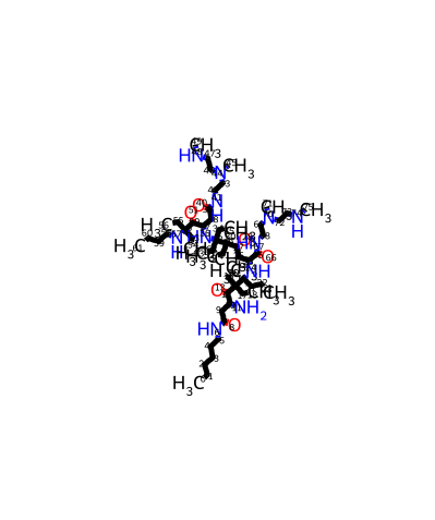 CCCCCCNC(=O)CC(N)C(=O)C(CC)(CC)C(C)(CCC)NC(CC(=O)C(C)(CC)C(CC)(NC(CC(=O)NCCN(C)CCNC)C(=O)C(CC)(CC)NCCCC)C(C)C)C(=O)NCCN(C)CCNC